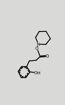 O=C(CCc1ccccc1O)ON1CCCCC1